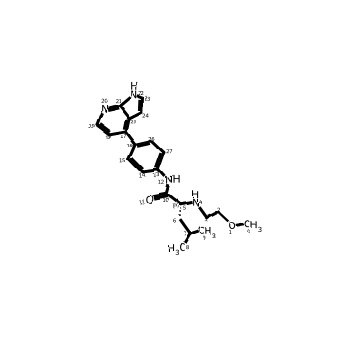 COCCN[C@H](CC(C)C)C(=O)Nc1ccc(-c2ccnc3[nH]ccc23)cc1